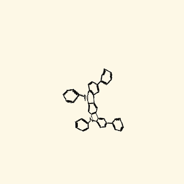 c1ccc(-c2ccc3c(c2)c2cc4c5cc(-c6ccccc6)ccc5n(-c5ccccc5)c4cc2n3-c2ccccc2)cc1